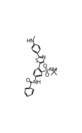 CNc1ccc(-c2ncc(-c3ccc(NC(=O)c4ccccc4)cc3S(=O)(=O)NC(C)(C)C)s2)cc1